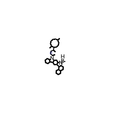 C=C(/C=C\C(=C)n1c2ccccc2c2cc3c4c5ccccc5ccc4n(BC)c3cc21)c1cccc(=C)ccccc1=C